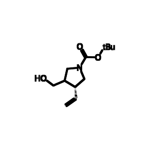 C=C[C@H]1CN(C(=O)OC(C)(C)C)CC1CO